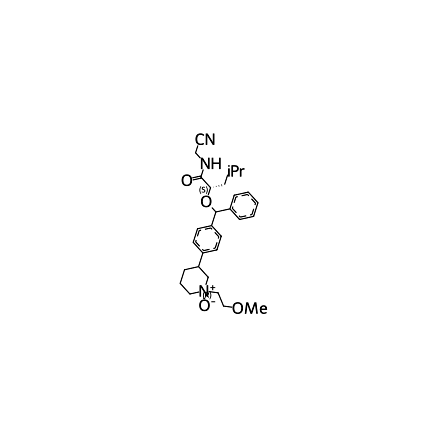 COCC[N@@+]1([O-])CCCC(c2ccc(C(O[C@@H](CC(C)C)C(=O)NCC#N)c3ccccc3)cc2)C1